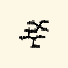 CCCCCCN(CCCCCC)C(C)CCCC.CCCCCC[N+](C)(CCCCCC)CCCCCC